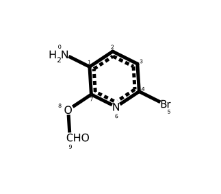 Nc1ccc(Br)nc1OC=O